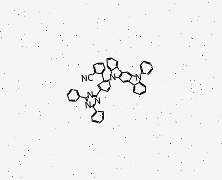 N#Cc1ccccc1-c1cc(-c2nc(-c3ccccc3)nc(-c3ccccc3)n2)ccc1-n1c2ccccc2c2cc3c(cc21)c1ccccc1n3-c1ccccc1